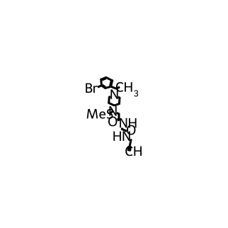 C#CCNC(=O)CNC(=O)CN(SC)C1CCN(C(C)c2cccc(Br)c2)CC1